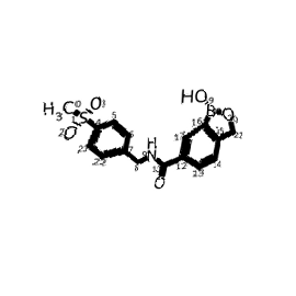 CS(=O)(=O)c1ccc(CNC(=O)c2ccc3c(c2)B(O)OC3)cc1